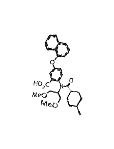 COCC(COC)N(c1ccc(Oc2cccc3ccccc23)cc1C(=O)O)C(=O)[C@H]1CC[C@H](C)CC1